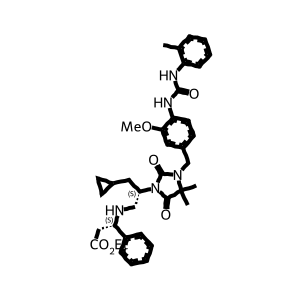 CCOC(=O)C[C@H](NC[C@H](CC1CC1)N1C(=O)N(Cc2ccc(NC(=O)Nc3ccccc3C)c(OC)c2)C(C)(C)C1=O)c1ccccc1